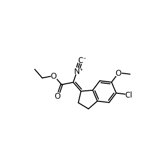 [C-]#[N+]/C(C(=O)OCC)=C1/CCc2cc(Cl)c(OC)cc21